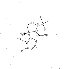 N[C@@]1(c2cccc(F)c2F)CO[C@H](C(F)(F)F)[C@H]1CO